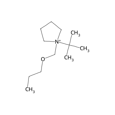 CCCOC[N+]1(C(C)(C)C)CCCC1